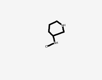 ClNC1CCCNC1